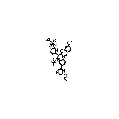 CCOc1cncc(-c2ccc(N(Cc3ccc(OC)cc3)C(=O)C(C(=O)OC(C)(C)C)c3ccnc(NS(=O)(=O)C4CC4)n3)cc2)n1